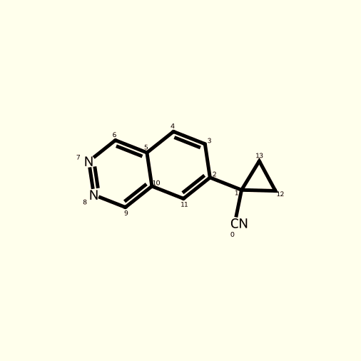 N#CC1(c2ccc3cnncc3c2)CC1